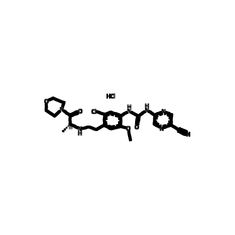 COc1cc(CCN[C@H](C)C(=O)N2CCOCC2)c(Cl)cc1NC(=O)Nc1cnc(C#N)cn1.Cl